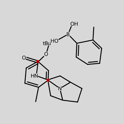 Cc1ccccc1B(O)O.Cc1ccccc1N1C2CCC1CC(NC(=O)OC(C)(C)C)C2